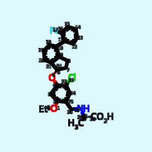 CCOc1cc(O[C@H]2CCc3c(-c4ccccc4F)cccc32)c(Cl)cc1CN[C@@H](C)C(=O)O